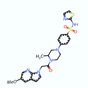 COc1cnc2c(ccn2CC(=O)N2CCN(c3ccc(S(=O)(=O)Nc4nccs4)cc3)CC2C)c1